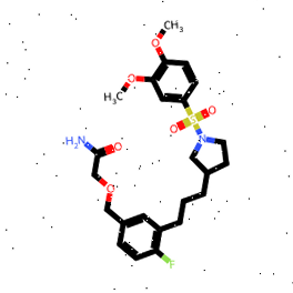 COc1ccc(S(=O)(=O)N2CCC(CCCc3cc(COCC(N)=O)ccc3F)C2)cc1OC